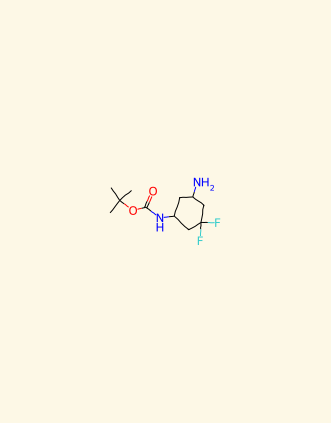 CC(C)(C)OC(=O)NC1CC(N)CC(F)(F)C1